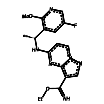 CCOC(=N)c1cnn2ccc(N[C@H](C)c3cc(F)cnc3OC)nc12